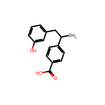 CC(Cc1cccc(O)c1)c1ccc(C(=O)O)cc1